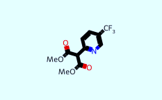 COC(=O)C(C(=O)OC)c1ccc(C(F)(F)F)cn1